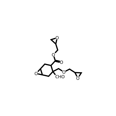 O=CC1(COCC2CO2)CC2OC2CC1C(=O)OCC1CO1